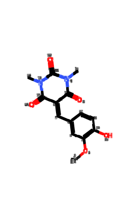 CCOc1cc(C=C2C(=O)N(C)C(=O)N(C)C2=O)ccc1O